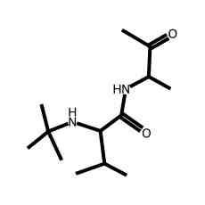 CC(=O)C(C)NC(=O)C(NC(C)(C)C)C(C)C